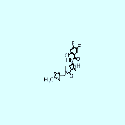 Cc1nc(CNC(=O)c2cc(NC(=O)c3cc(F)c(F)cc3Cl)[nH]n2)cs1